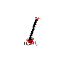 CC1(C)OC(=O)C(=CCCCCCCCC=CCCCCCCCCO)C(=O)O1